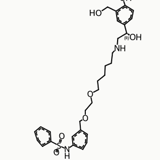 O=S(=O)(Nc1cccc(COCCOCCCCCCNC[C@H](O)c2ccc(O)c(CO)c2)c1)c1ccccc1